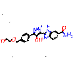 Cn1nc(-c2ccc(COCCO)cc2)c(O)c1-c1nc2ccc(C(N)=O)cc2[nH]1